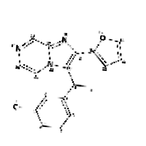 CC(c1cccc(Cl)c1)c1c(-c2ccco2)nc2cnccn12